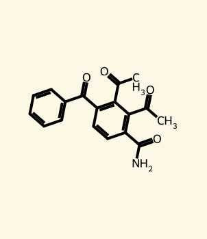 CC(=O)c1c(C(N)=O)ccc(C(=O)c2ccccc2)c1C(C)=O